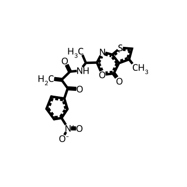 C=C(C(=O)NC(C)c1nc2scc(C)c2c(=O)o1)C(=O)c1cccc([N+](=O)[O-])c1